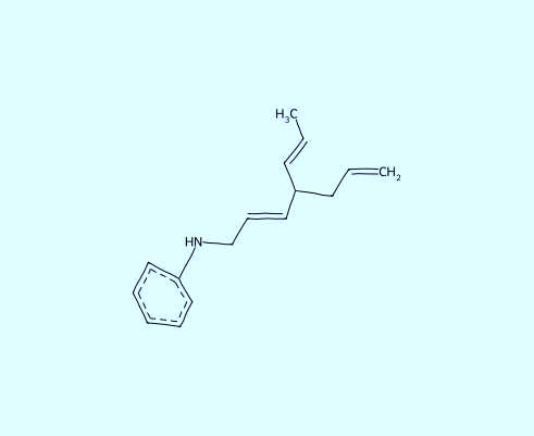 C=CCC(/C=C/C)/C=C/CNc1ccccc1